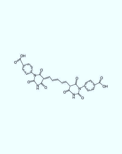 O=C1NC(=O)N(c2ccc(C(=O)O)cc2)C(=O)C1=CC=CC=CC1C(=O)NC(=O)N(c2ccc(C(=O)O)cc2)C1=O